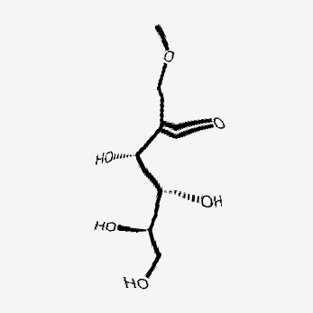 COCC(=O)[C@@H](O)[C@H](O)[C@H](O)CO